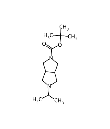 CC(C)N1CC2CN(C(=O)OC(C)(C)C)CC2C1